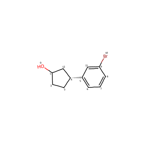 OC1CC[C@@H](c2cccc(Br)c2)C1